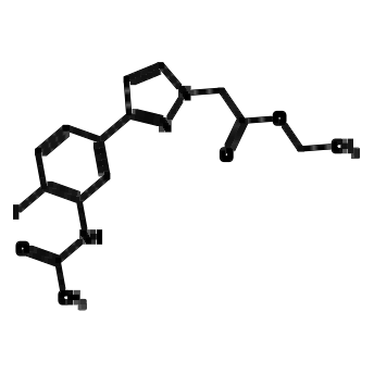 CCOC(=O)Cn1ccc(-c2ccc(I)c(NC(C)=O)c2)n1